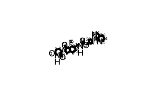 O=C1CC[C@H](N2Cc3ccc(CNC(=O)OC4CC(n5ncc6cccnc65)C4)c(F)c3C2=O)C(=O)N1